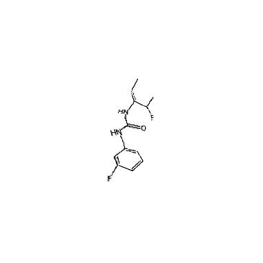 C/C=C(/NC(=O)Nc1cccc(F)c1)C(C)F